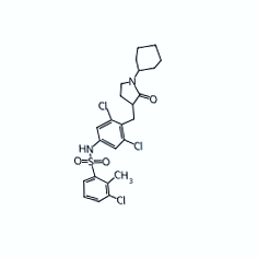 Cc1c(Cl)cccc1S(=O)(=O)Nc1cc(Cl)c(CC2CCN(C3CCCCC3)C2=O)c(Cl)c1